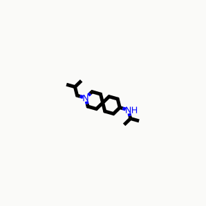 CC(C)CN1CCC2(CCC(NC(C)C)CC2)CC1